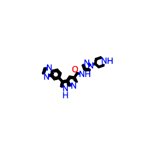 O=C(Nc1cnn(C2CCNCC2)c1)c1cnc2[nH]cc(-c3ccc4nccnc4c3)c2c1